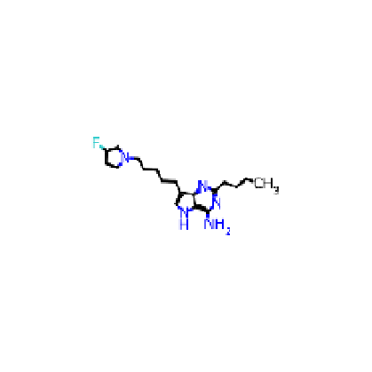 CCCCc1nc(N)c2[nH]cc(CCCCCN3CCC(F)C3)c2n1